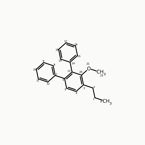 CCCc1[c]cc(-c2ccccc2)c(-c2ccccc2)c1OC